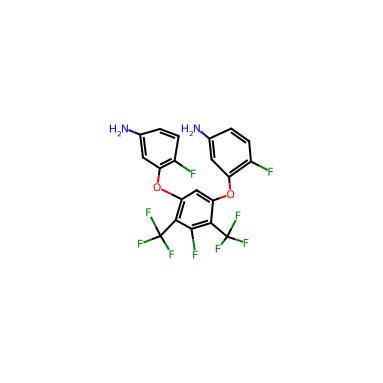 Nc1ccc(F)c(Oc2cc(Oc3cc(N)ccc3F)c(C(F)(F)F)c(F)c2C(F)(F)F)c1